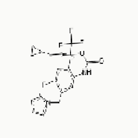 O=C1Nc2cc(Cn3cccn3)c(F)cc2[C@](C#CC2CC2)(C(F)(F)F)O1